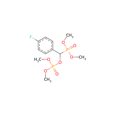 COP(=O)(OC)OC(c1ccc(F)cc1)P(=O)(OC)OC